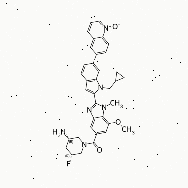 COc1cc(C(=O)N2C[C@H](N)C[C@@H](F)C2)cc2nc(-c3cc4ccc(-c5ccc6c(ccc[n+]6[O-])c5)cc4n3CC3CC3)n(C)c12